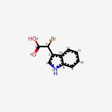 O=C(O)C(Br)c1c[nH]c2ccccc12